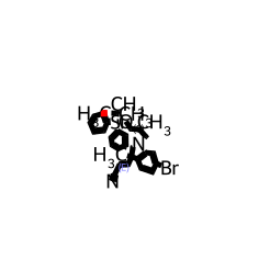 C[C@H](CO[Si](c1ccccc1)(c1ccccc1)C(C)(C)C)CN1CC(C)(/C=C/C#N)c2ccc(Br)cc21